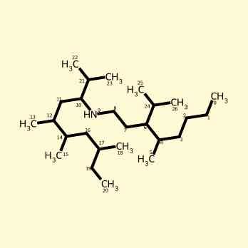 CCCCC(C)C(CCNC(CC(C)C(C)CC(C)CC)C(C)C)C(C)C